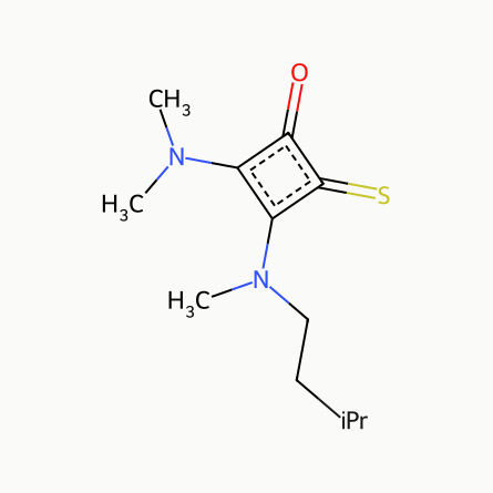 CC(C)CCN(C)c1c(N(C)C)c(=O)c1=S